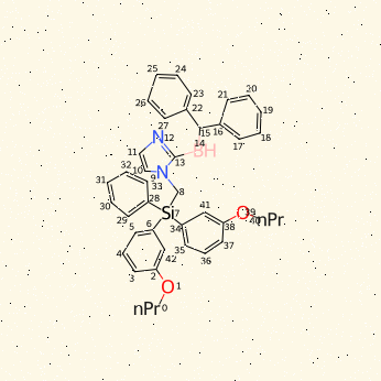 CCCOc1cccc([Si](Cn2ccnc2BC(c2ccccc2)c2ccccc2)(c2ccccc2)c2cccc(OCCC)c2)c1